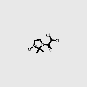 CC1(C)N(C(=O)C(Cl)Cl)CC[S+]1[O-]